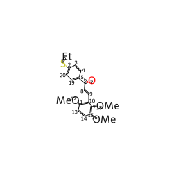 CCSc1ccc(C(=O)/C=C/c2c(OC)ccc(OC)c2OC)cc1